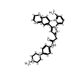 Cc1cccc(-n2nc(CC(=O)Nc3ccc(N4CCN(C)CC4)cc3)cc2-c2ccc3nccnc3c2)n1